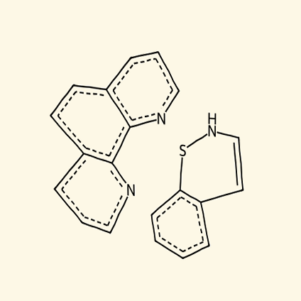 C1=Cc2ccccc2SN1.c1cnc2c(c1)ccc1cccnc12